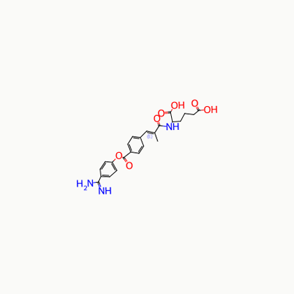 C/C(=C\c1ccc(C(=O)Oc2ccc(C(=N)N)cc2)cc1)C(=O)NC(CCCC(=O)O)C(=O)O